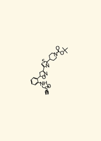 CC(C)(C)OC(=O)N1CCC(c2nc(C3=NOC(c4ccccc4NC[SH](=O)=O)C3)cs2)CC1